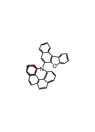 c1ccc(N(c2cc3ccccc3c3c2oc2ccccc23)c2cccc3ccc4ccc5ccccc5c4c23)cc1